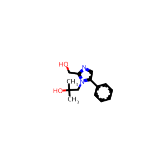 CC(C)(O)Cn1c(-c2ccccc2)cnc1CO